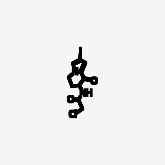 O=C(CCl)NC1CCn2cc(I)cc2C1=O